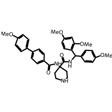 COc1ccc(-c2ccc(C(=O)NC3(C(=O)NC(c4ccc(OC)cc4)c4ccc(OC)cc4OC)CCNCC3)cc2)cc1